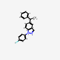 Fc1ccc(-n2ncc3cc([C](c4ccccc4)C(F)(F)F)ccc32)cc1